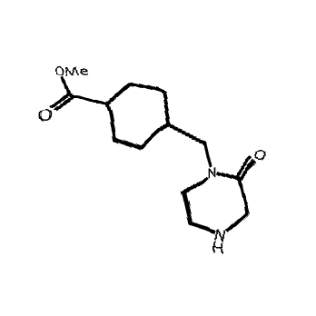 COC(=O)C1CCC(CN2CCNCC2=O)CC1